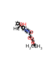 C#CC(O)(c1ccccc1)c1ccc(N2CCN(C(=O)CCC(=O)OCCOCC(=C)C)CC2)cc1